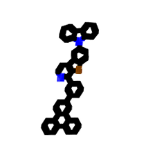 c1cc(-c2ccc3c4ccccc4c4ccccc4c3c2)cc(-c2nccc3c2sc2ccc(-n4c5ccccc5c5ccccc54)cc23)c1